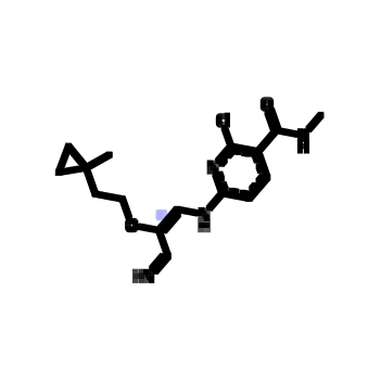 CNC(=O)c1ccc(N/C=C(\C=N)OCCC2(C)CC2)nc1Cl